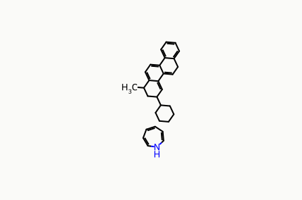 C1=CC=CNC=C1.CC1CC(C2CCCCC2)C=c2c1ccc1c2=CCc2ccccc2-1